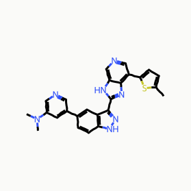 Cc1ccc(-c2cncc3[nH]c(-c4n[nH]c5ccc(-c6cncc(N(C)C)c6)cc45)nc23)s1